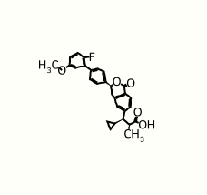 COc1ccc(F)c(-c2ccc([C@@H]3Cc4cc([C@H](C5CC5)[C@H](C)C(=O)O)ccc4C(=O)O3)cc2)c1